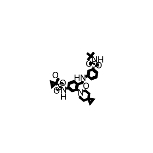 CC(C)(C)NS(=O)(=O)c1cccc(NC(=O)c2ccc(NS(=O)(=O)C3(C=O)CC3)cc2N2CCC3(CC2)CC3)c1